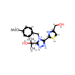 COc1ccc(Cn2c(-c3nc(CO)cs3)nnc2C(C)(C)O)cc1